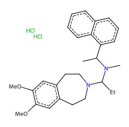 CCC(N1CCc2cc(OC)c(OC)cc2CC1)N(C)C(C)c1cccc2ccccc12.Cl.Cl